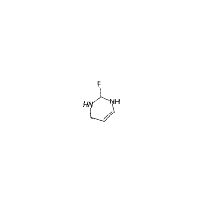 FC1NC=CCN1